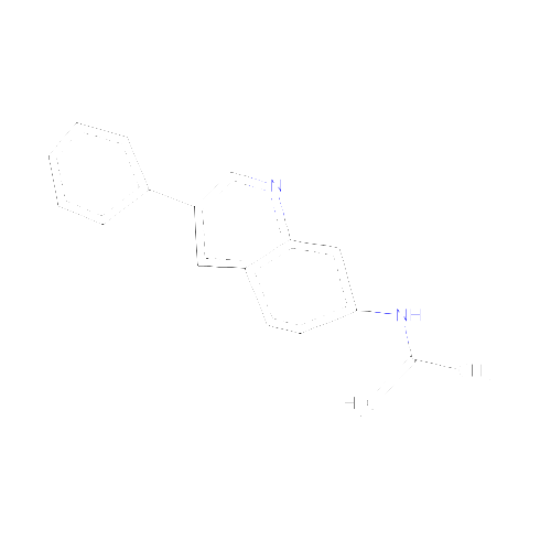 C=C(C)Nc1ccc2cc(-c3ccccc3)cnc2c1